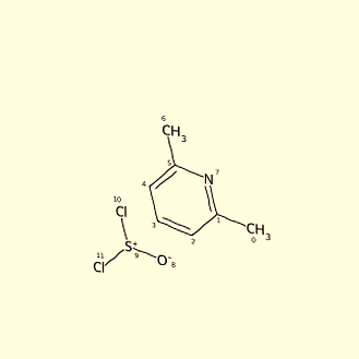 Cc1cccc(C)n1.[O-][S+](Cl)Cl